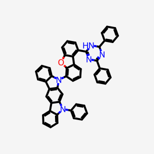 c1ccc(C2=NC(c3ccccc3)NC(c3cccc4oc5c(-n6c7ccccc7c7cc8c9ccccc9n(-c9ccccc9)c8cc76)cccc5c34)=N2)cc1